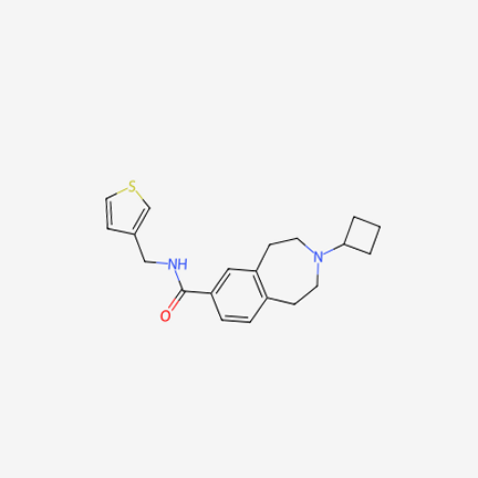 O=C(NCc1ccsc1)c1ccc2c(c1)CCN(C1CCC1)CC2